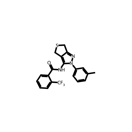 Cc1cccc(-n2nc3c(c2NC(=O)c2ccccc2C(F)(F)F)CSC3)c1